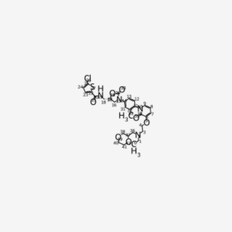 CCN(CCOc1cccn(-c2ccc(N3C[C@H](CNC(=O)c4ccc(Cl)s4)OC3=O)cc2C)c1=O)CC1COCCO1